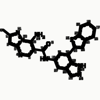 Cc1cc2ncc(C(=O)Nc3cc(-c4cc5ccccc5s4)c4[nH]ncc4c3)c(N)n2n1